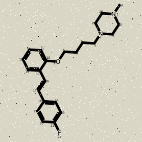 CN1CCN(CCCCOc2ccccc2C=Cc2ccc(F)cc2)CC1